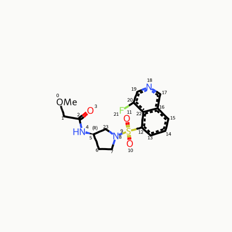 COCC(=O)N[C@@H]1CCN(S(=O)(=O)c2cccc3cncc(F)c23)C1